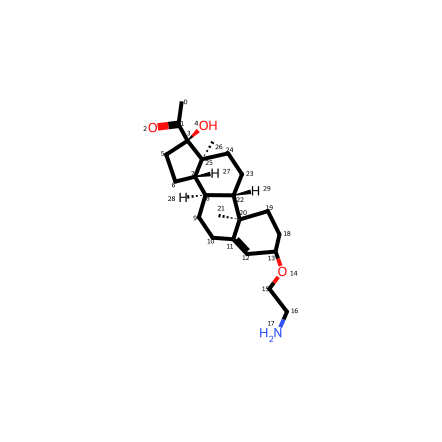 CC(=O)[C@@]1(O)CC[C@H]2[C@@H]3CCC4=CC(OCCN)CC[C@]4(C)[C@H]3CC[C@@]21C